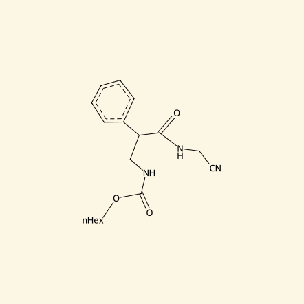 CCCCCCOC(=O)NCC(C(=O)NCC#N)c1ccccc1